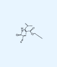 CCOC(=O)c1cc(C#N)c(=O)[nH]c1C(C)C